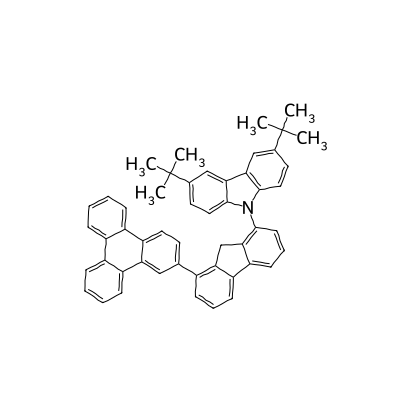 CC(C)(C)c1ccc2c(c1)c1cc(C(C)(C)C)ccc1n2-c1cccc2c1Cc1c(-c3ccc4c5ccccc5c5ccccc5c4c3)cccc1-2